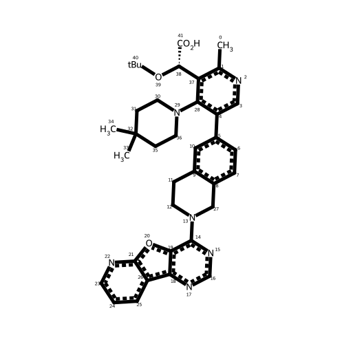 Cc1ncc(-c2ccc3c(c2)CCN(c2ncnc4c2oc2ncccc24)C3)c(N2CCC(C)(C)CC2)c1[C@H](OC(C)(C)C)C(=O)O